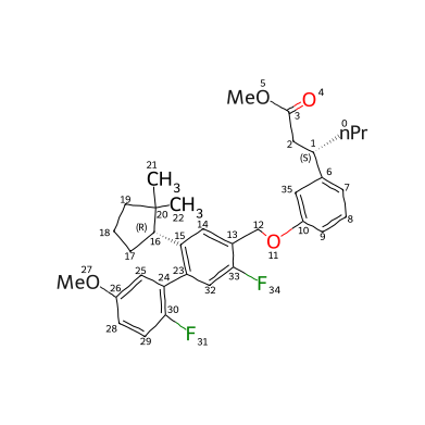 CCC[C@@H](CC(=O)OC)c1cccc(OCc2cc([C@@H]3CCCC3(C)C)c(-c3cc(OC)ccc3F)cc2F)c1